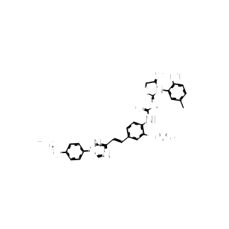 COc1cc(C=Cc2ncn(-c3ccc(OC(F)(F)F)cc3)n2)ccc1NC(=O)N=C1SCC(=O)N1c1cc(C)ccc1C(C)C